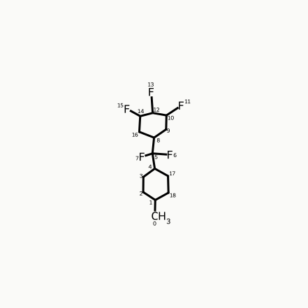 CC1CCC(C(F)(F)C2CC(F)C(F)C(F)C2)CC1